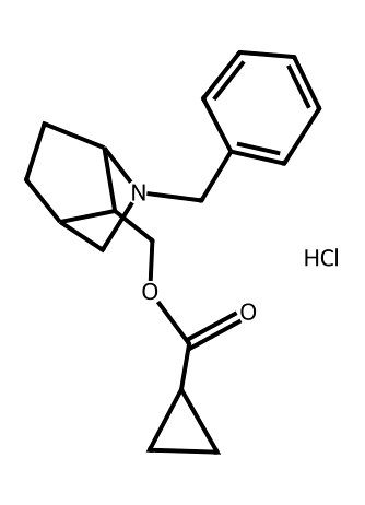 Cl.O=C(OCC1C2CCC1N(Cc1ccccc1)C2)C1CC1